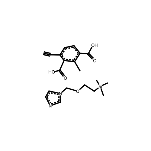 C#Cc1ccc(C(=O)O)c(C)c1C(=O)O.C[Si](C)(C)CCOCn1ccnc1